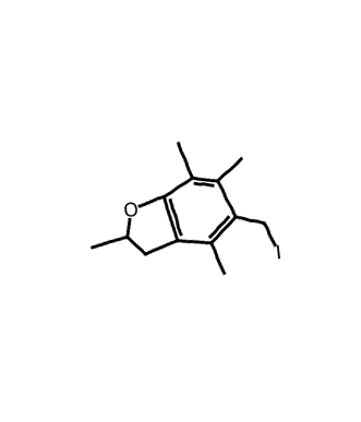 Cc1c(C)c2c(c(C)c1CI)CC(C)O2